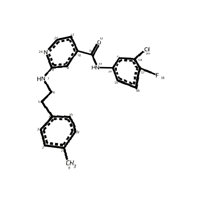 Cc1ccc(CCNc2cc(C(=O)Nc3ccc(F)c(Cl)c3)ccn2)cc1